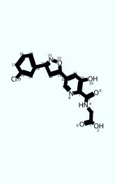 O=C(O)CNC(=O)c1ncc(-c2cc(-c3cccc(Cl)c3)no2)cc1O